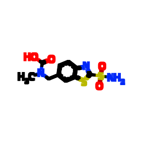 CN(Cc1ccc2nc(S(N)(=O)=O)sc2c1)C(=O)O